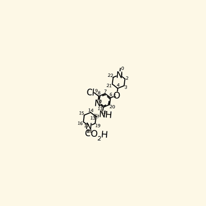 CN1CCC(Oc2cc(Cl)nc(N[C@H]3CCCN(C(=O)O)C3)c2)CC1